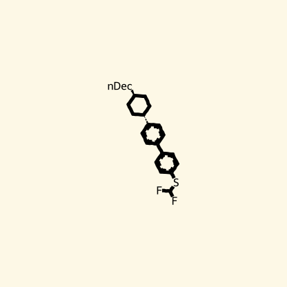 CCCCCCCCCC[C@H]1CC[C@H](c2ccc(-c3ccc(SC(F)F)cc3)cc2)CC1